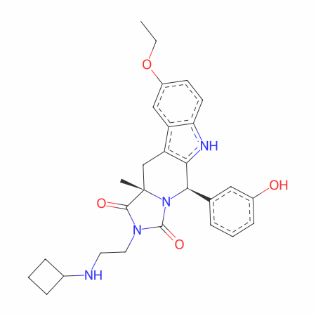 CCOc1ccc2[nH]c3c(c2c1)C[C@@]1(C)C(=O)N(CCNC2CCC2)C(=O)N1[C@@H]3c1cccc(O)c1